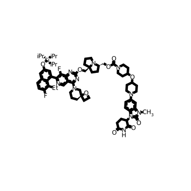 CCc1c(F)ccc2cc(O[Si](C(C)C)(C(C)C)C(C)C)cc(-c3ncc4c(N5CCC[C@@]6(CCO6)C5)nc(OC[C@@]56CCCN5[C@H](COC(=O)N5CCC(OC7CCN(c8ccc9c(c8)n(C)c(=O)n9C8CCC(=O)NC8=O)CC7)CC5)CC6)nc4c3F)c12